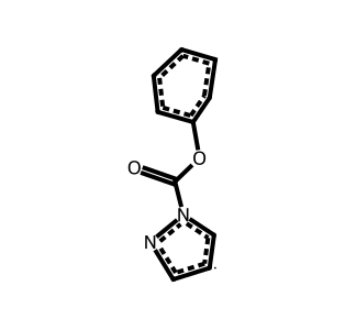 O=C(Oc1ccccc1)n1c[c]cn1